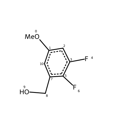 COc1cc(F)c(F)c(CO)c1